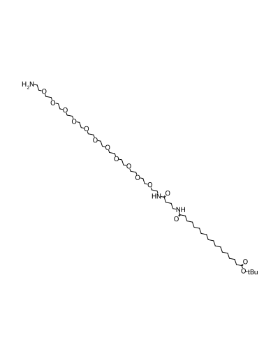 CC(C)(C)OC(=O)CCCCCCCCCCCCCCCCC(=O)NCCCC(=O)NCCOCCOCCOCCOCCOCCOCCOCCOCCOCCOCCOCCN